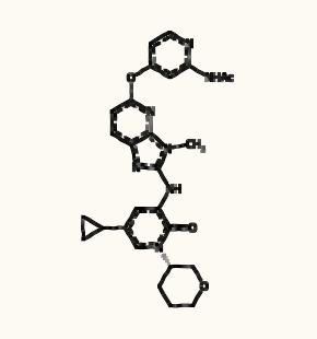 CC(=O)Nc1cc(Oc2ccc3nc(Nc4cc(C5CC5)cn([C@H]5CCCOC5)c4=O)n(C)c3n2)ccn1